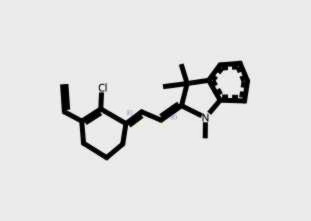 C=CC1=C(Cl)/C(=C/C=C2/N(C)c3ccccc3C2(C)C)CCC1